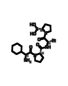 CC[C@H](NC(=O)[C@@H]1CCCN1C(=O)[C@@H](N)C1CCCCC1)C(=O)N1CCC[C@H]1B(O)O